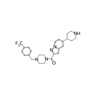 O=C(c1cc2cc(C3CCNCC3)ccn2n1)N1CCN(Cc2ccc(C(F)(F)F)cc2)CC1